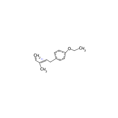 C=C/C(C)=C/Cc1ccc(OCC)cc1